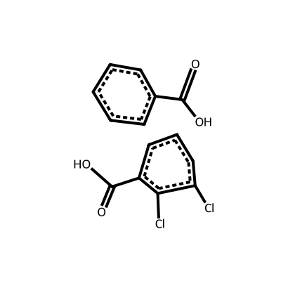 O=C(O)c1cccc(Cl)c1Cl.O=C(O)c1ccccc1